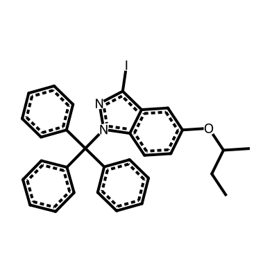 CCC(C)Oc1ccc2c(c1)c(I)nn2C(c1ccccc1)(c1ccccc1)c1ccccc1